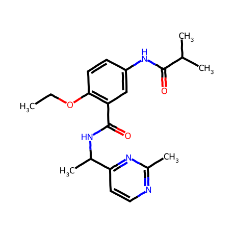 CCOc1ccc(NC(=O)C(C)C)cc1C(=O)NC(C)c1ccnc(C)n1